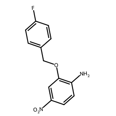 Nc1ccc([N+](=O)[O-])cc1OCc1ccc(F)cc1